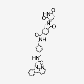 O=C(Cn1c2ccccc2c2cccnc21)NCc1ccc(CNC(=O)c2ccc3c(c2)CN([C@H]2CCC(=O)NC2=O)C3=O)cc1